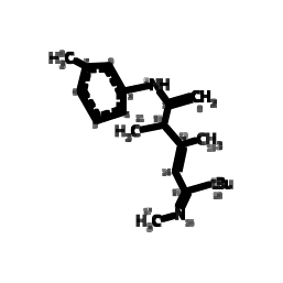 C=C(Nc1cccc(C)c1)C(C)/C(C)=C/C(=N\C)C(C)(C)C